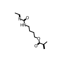 C=C(C)C(=O)OCCCCNC(=O)N=CC